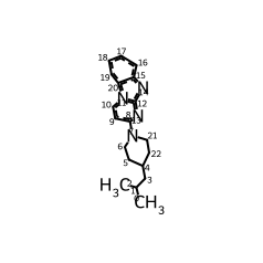 CC(C)CC1CCN(c2ccn3c(n2)nc2ccccc23)CC1